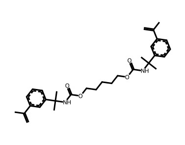 C=C(C)c1cccc(C(C)(C)NC(=O)OCCCCCOC(=O)NC(C)(C)c2cccc(C(=C)C)c2)c1